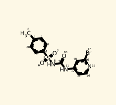 Cc1ccc(S(=O)(=O)NC(=O)Nc2ccnc(Br)c2)cc1